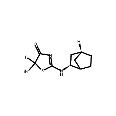 CC(C)C1(F)SC(N[C@H]2C[C@@H]3CCC2C3)=NC1=O